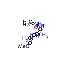 COc1ccc(CN(C)c2cc3nc(C)c(-c4ccc(F)c(NC(=O)NC5CC(C)(C)C5)c4)cc3cn2)cc1